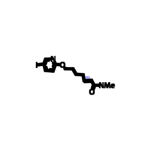 CNC(=O)/C=C/CCCCOc1ccc(I)cn1